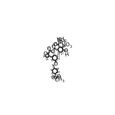 CS(=O)(=O)c1ccc(COc2cccc(-c3ccoc3C(=O)OC(=O)c3ccc(O)c([N+](=O)[O-])c3C(=O)NN)c2)cc1